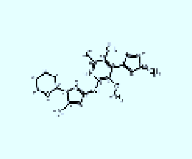 COc1c(Nc2cc(C)n(C3CCCCO3)n2)nc(Cl)c(C)c1-c1cnn(C)c1